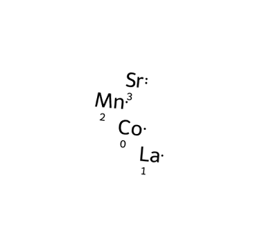 [Co].[La].[Mn].[Sr]